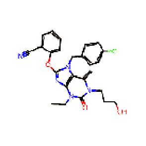 C=C1c2c(nc(Oc3ccccc3C#N)n2Cc2ccc(Cl)cc2)N(CC)C(=O)N1CCCO